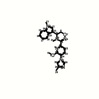 COc1nc(C2=NOCC(c3cn(C)c4ccccc34)N2C)ccc1-n1cnc(C)c1